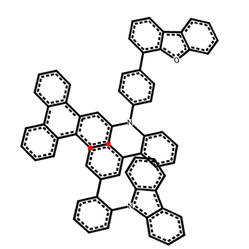 c1cc(-c2ccccc2N(c2ccc(-c3cccc4c3oc3ccccc34)cc2)c2ccc3c4ccccc4c4ccccc4c3c2)cc(-c2ccccc2-n2c3ccccc3c3ccccc32)c1